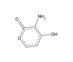 Nc1c(O)ccoc1=O